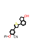 CC(C)Oc1ccc(C2=CSC(c3cccc4c3CCC4O)C2)cc1C#N